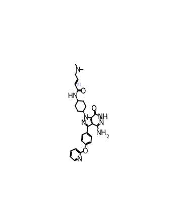 CN(C)C/C=C/C(=O)N[C@H]1CC[C@@H](n2nc(-c3ccc(Oc4ccccn4)cc3)c3c(N)n[nH]c(=O)c32)CC1